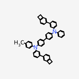 Cc1ccc(N(c2ccc(-c3ccc(N(c4ccccc4)c4cccc(-c5ccc6c(c5)CC6)c4)cc3)cc2)c2cccc(-c3ccc4c(c3)CC4)c2)cc1